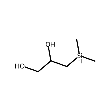 C[SiH](C)CC(O)CO